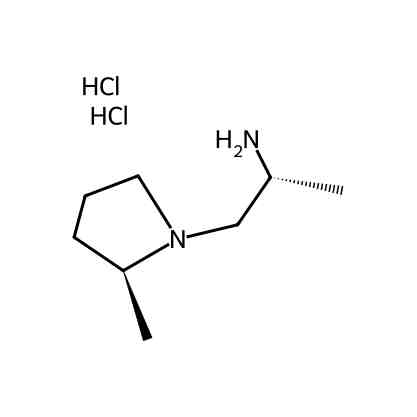 C[C@@H](N)CN1CCC[C@@H]1C.Cl.Cl